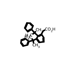 CC(C)(c1ccccc1)c1cccc(CC(=O)O)c1C(C)(C)c1ccccc1